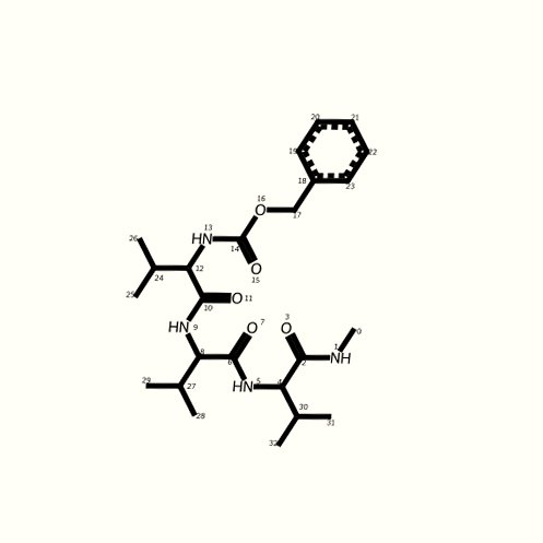 CNC(=O)C(NC(=O)C(NC(=O)C(NC(=O)OCc1ccccc1)C(C)C)C(C)C)C(C)C